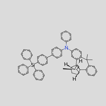 CC1(C)c2ccc(N(c3ccccc3)c3ccc(-c4ccc([Si](c5ccccc5)(c5ccccc5)c5ccccc5)cc4)cc3)cc2C2[C@H]3C[C@H]4C[C@@H](C)C[C@H](C3)C24c2ccccc21